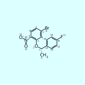 C[C@H](Oc1cc(Br)ccc1[N+](=O)[O-])c1ccc(F)cc1